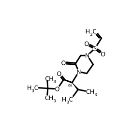 C=CS(=O)(=O)N1CCN([C@H](C(=O)OC(C)(C)C)C(C)C)C(=O)C1